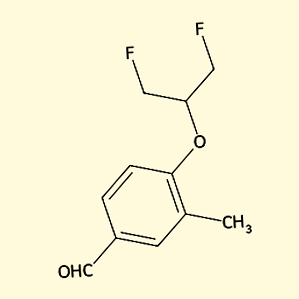 Cc1cc(C=O)ccc1OC(CF)CF